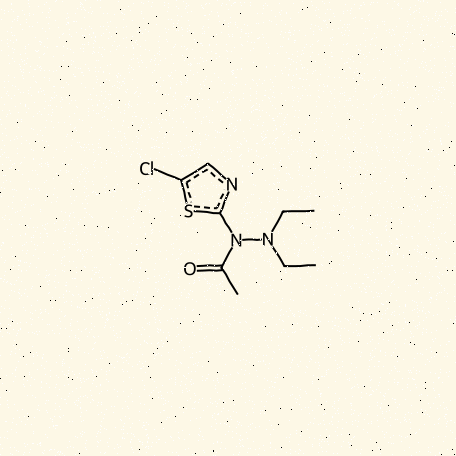 CCN(CC)N(C(C)=O)c1ncc(Cl)s1